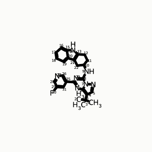 CC(C)(C)c1cnn2c(NC3CCc4[nH]c5ccccc5c4C3)nc(-c3cncc(F)c3)nc12